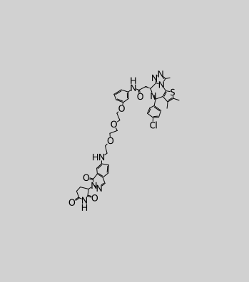 Cc1sc2c(c1C)C(c1ccc(Cl)cc1)=N[C@@H](CC(=O)Nc1cccc(OCCOCCOCCNc3ccc4cnn(C5CCC(=O)NC5=O)c(=O)c4c3)c1)c1nnc(C)n1-2